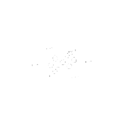 CCCCCCCCCCCCc1ccc(C2(c3ccc(CCCCCCCCCCCC)cc3)c3cc4c(cc3-c3sc5sc(Br)cc5c32)C(c2ccc(CCCCCCCCCCCC)cc2)(c2ccc(CCCCCCCCCCCC)cc2)c2c-4sc3sc(Br)cc23)cc1